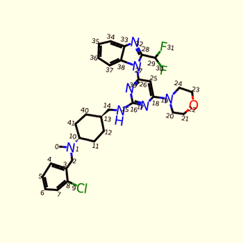 CN(Cc1ccccc1Cl)[C@H]1CC[C@H](CNc2nc(N3CCOCC3)cc(-n3c(C(F)F)nc4ccccc43)n2)CC1